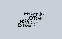 CCOCC1=CC(OC)=C(c2ccc(CC(NC(=O)C3=Nc4ccccc4C3OC)C(=O)O)cc2)C(OC)C1